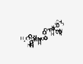 Cc1cccc(-c2nc(CNC3Cc4cccc(-c5ccc6c(c5)C(NCc5nc(-c7cccc(C)n7)c(-c7ccn8ncnc8c7)[nH]5)CC6)c4C3)[nH]c2-c2ccc3ncnn3c2)n1